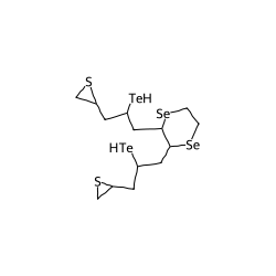 [TeH]C(CC1CS1)CC1[Se]CC[Se]C1CC([TeH])CC1CS1